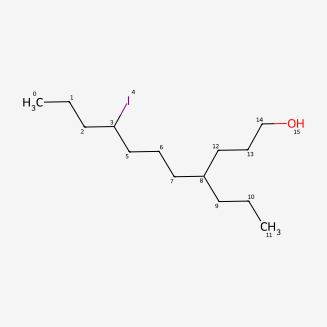 CCCC(I)CCCC(CCC)CCCO